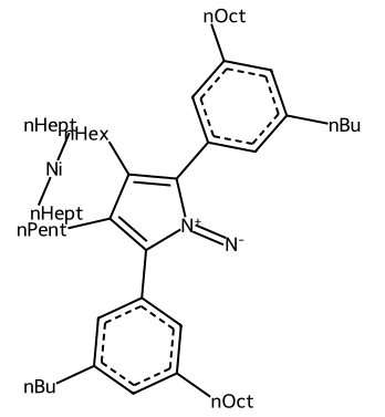 CCCCCCCCc1cc(CCCC)cc(C2=C(CCCCC)C(CCCCCC)=C(c3cc(CCCC)cc(CCCCCCCC)c3)[N+]2=[N-])c1.CCCCCC[CH2][Ni][CH2]CCCCCC